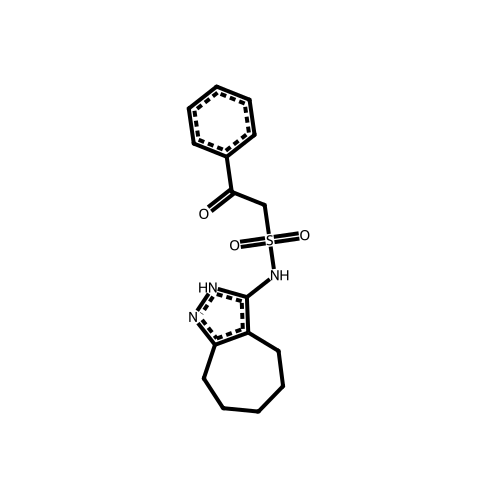 O=C(CS(=O)(=O)Nc1[nH]nc2c1CCCCC2)c1ccccc1